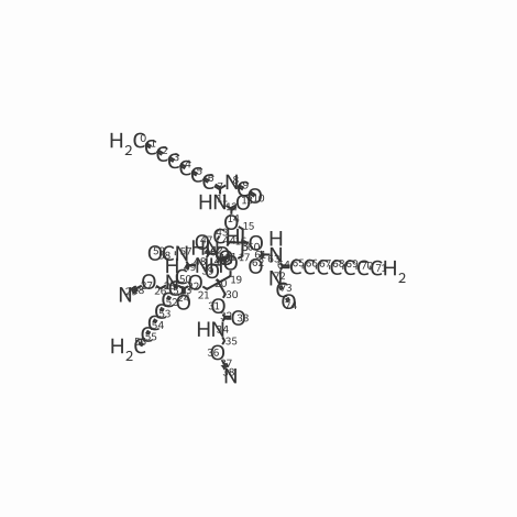 C=C=C=C=C=C=C=C(N=C=O)NC(=O)OCC(COCC(COC(=O)NCOC#N)(COC(=O)NCOC#N)OC(=O)NC)(COC(=O)NC(=C=C=C=C=C=C=C)N=C=O)OC(=O)NC(=C=C=C=C=C=C=C)N=C=O